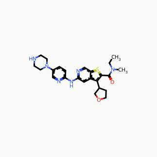 CCN(C)C(=O)c1sc2cnc(Nc3ccc(N4CCNCC4)cn3)cc2c1C1CCOC1